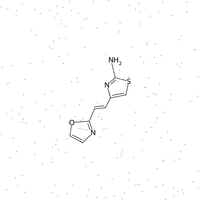 Nc1nc(C=Cc2ncco2)cs1